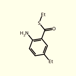 CCSC(=O)c1cc(CC)ccc1N